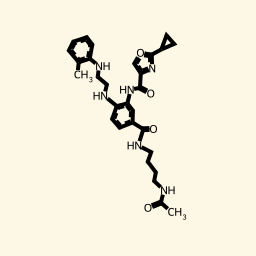 CC(=O)NCCCCNC(=O)c1ccc(NCCNc2ccccc2C)c(NC(=O)c2coc(C3CC3)n2)c1